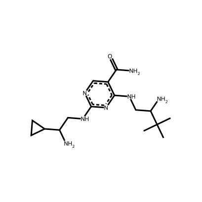 CC(C)(C)C(N)CNc1nc(NCC(N)C2CC2)ncc1C(N)=O